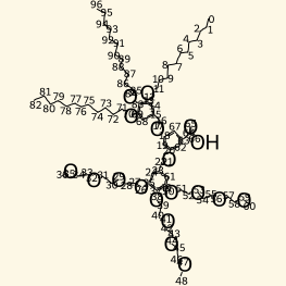 CCCCCCCCCCCCOc1cc(COc2cc(OCc3cc(OCCOCCOCCOC)c(OCCOCCOCCOC)c(OCCOCCOCCOC)c3)cc(C(=O)O)c2)cc(OCCCCCCCCCCCC)c1OCCCCCCCCCCCC